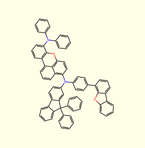 c1ccc(N(c2ccccc2)c2cccc3c2Oc2ccc(N(c4ccc(-c5cccc6c5oc5ccccc56)cc4)c4ccc5c(c4)C(c4ccccc4)(c4ccccc4)c4ccccc4-5)c4cccc-3c24)cc1